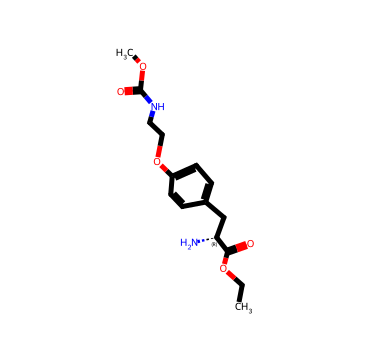 CCOC(=O)[C@H](N)Cc1ccc(OCCNC(=O)OC)cc1